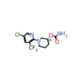 NC(=O)O[C@@H]1CCCN(c2ncc(Cl)cc2C(F)(F)F)C1